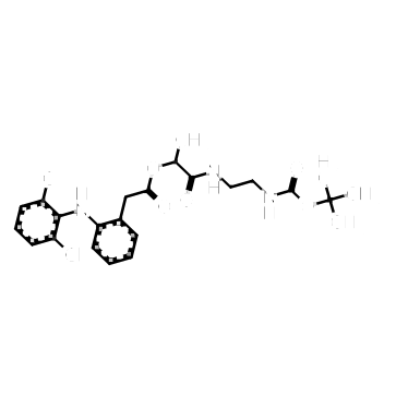 CC(OC(=O)Cc1ccccc1Nc1c(Cl)cccc1Cl)C(=O)NCCNC(=O)OC(C)(C)C